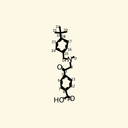 CN(CC(=O)c1ccc(C(=O)O)cc1)Cc1ccc(C(C)(C)C)cc1